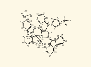 CC(C)(C)c1ccc(N2c3ccccc3B3c4c2cc(-n2c5ccccc5c5ccccc52)cc4C2(c4ccccc4-c4ccccc42)c2oc4ccc(C(C)(C)C)cc4c23)cc1